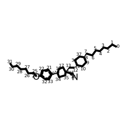 CCCCCCCC[C@H]1CC[C@H](CC[C@]2(C#N)CC[C@H](c3ccc(OCCCCCCC)cc3)CC2)CC1